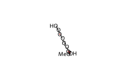 C=P(O)(OC)OCCOCCOCCOCCOCCOCCO